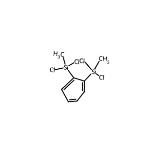 C[Si](Cl)(Cl)c1ccccc1[Si](C)(Cl)Cl